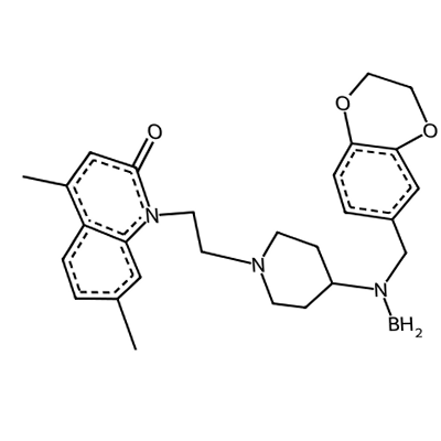 BN(Cc1ccc2c(c1)OCCO2)C1CCN(CCn2c(=O)cc(C)c3ccc(C)cc32)CC1